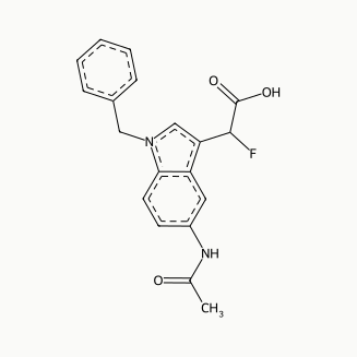 CC(=O)Nc1ccc2c(c1)c(C(F)C(=O)O)cn2Cc1ccccc1